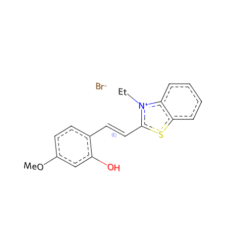 CC[n+]1c(/C=C/c2ccc(OC)cc2O)sc2ccccc21.[Br-]